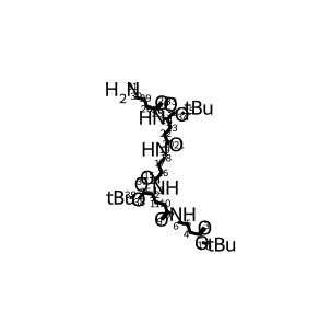 CC(C)(C)OC(=O)CCCNC(=O)CCC(NC(=O)CCCNC(=O)CCC(NC(=O)CCCN)C(=O)OC(C)(C)C)C(=O)OC(C)(C)C